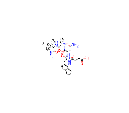 C[C@H](NC(=O)[C@H](CC(N)=O)NC(=O)[C@H](Cc1ccc2ccccc2c1)NC(=O)CCC(=O)O)C(=O)N[C@H](C(N)=O)C(C)(C)C